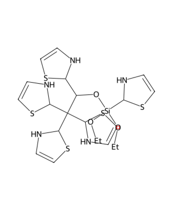 CCO[Si](OCC)(OC(C1NC=CS1)C(C1NC=CS1)(C1NC=CS1)C1NC=CS1)C1NC=CS1